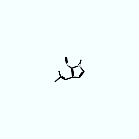 C=Nc1c(C=C(C)C)ccn1C